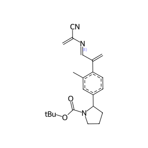 C=C(C#N)/N=C/C(=C)c1ccc(C2CCCN2C(=O)OC(C)(C)C)cc1C